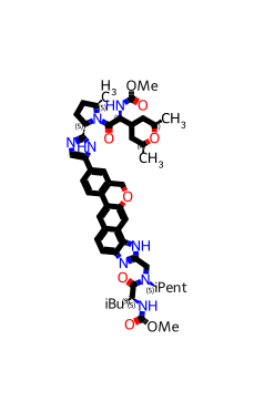 CCC[C@H](C)N(Cc1nc2ccc3cc4c(cc3c2[nH]1)OCc1cc(-c2cnc([C@@H]3CC[C@H](C)N3C(=O)[C@@H](NC(=O)OC)C3C[C@@H](C)O[C@H](C)C3)[nH]2)ccc1-4)C(=O)[C@@H](NC(=O)OC)[C@@H](C)CC